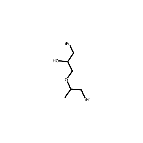 CC(C)CC(O)COC(C)CC(C)C